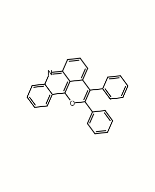 c1ccc(C2=C(c3ccccc3)c3cccc4nc5ccccc5c(c34)O2)cc1